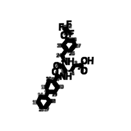 O=C(O)CC[C@H](NC(=O)c1ccc(-c2ccccc2)cc1)C(=O)NCc1cccc(OC(F)(F)F)c1